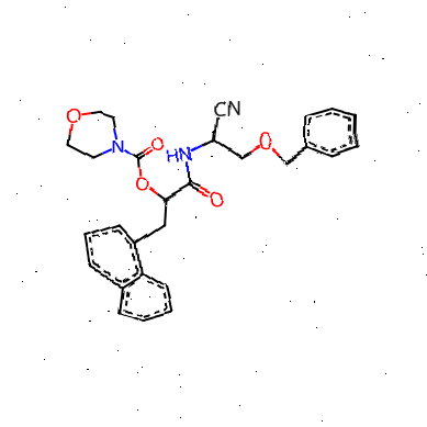 N#CC(COCc1ccccc1)NC(=O)C(Cc1cccc2ccccc12)OC(=O)N1CCOCC1